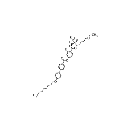 CCCCCCCCOc1ccc(-c2ccc(C(=O)Oc3ccc(C(=O)OC(CCCCOCC)C(F)(F)C(F)(F)F)c(F)c3)cc2)cc1